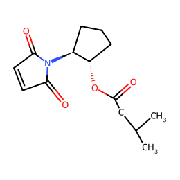 CC(C)CC(=O)O[C@H]1CCC[C@@H]1N1C(=O)C=CC1=O